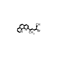 C#C/C(Br)=C\C=C(/C)c1ccc2ccc3cccnc3c2n1